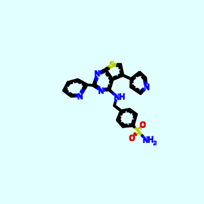 NS(=O)(=O)c1ccc(CNc2nc(-c3ccccn3)nc3scc(-c4ccncc4)c23)cc1